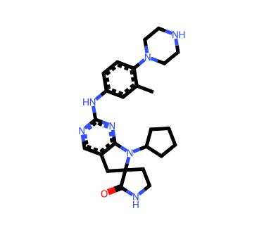 Cc1cc(Nc2ncc3c(n2)N(C2CCCC2)C2(CCNC2=O)C3)ccc1N1CCNCC1